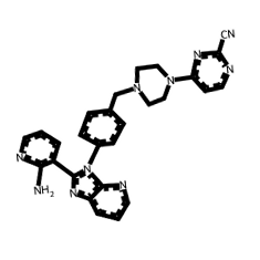 N#Cc1nccc(N2CCN(Cc3ccc(-n4c(-c5cccnc5N)nc5cccnc54)cc3)CC2)n1